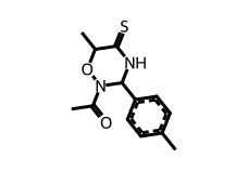 CC(=O)N1OC(C)C(=S)NC1c1ccc(C)cc1